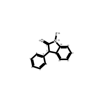 O=C1C(c2ccccc2)c2ccccc2N1F